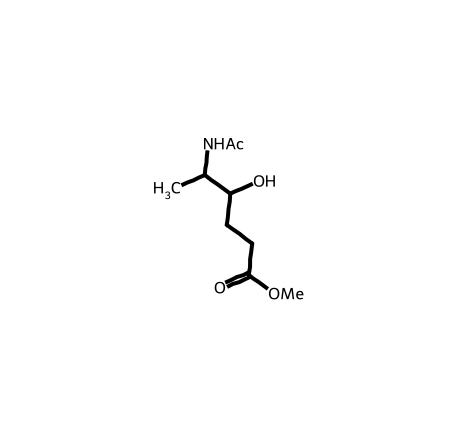 COC(=O)CCC(O)C(C)NC(C)=O